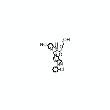 N#Cc1ccc(NC(=O)[C@@H](COCCO)Oc2ncnc3c2cnn3-c2ccccc2Cl)nc1